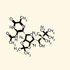 CC(=O)Nc1[nH]c(=O)c(C)nc1[C@@H]1O[C@H](C(O)[Si](C)(C)C(C)(C)C)[C@H]2OC(C)(C)O[C@H]21